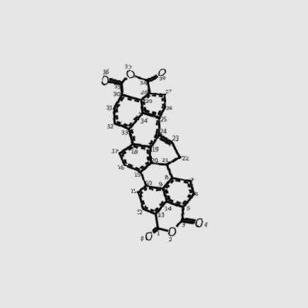 O=C1OC(=O)c2ccc3c4c(ccc1c24)-c1ccc2c4c1C3CC=c4c1ccc3c4c(ccc2c41)C(=O)OC3=O